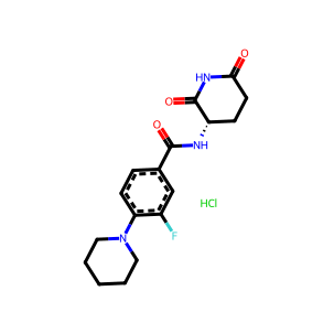 Cl.O=C1CC[C@H](NC(=O)c2ccc(N3CCCCC3)c(F)c2)C(=O)N1